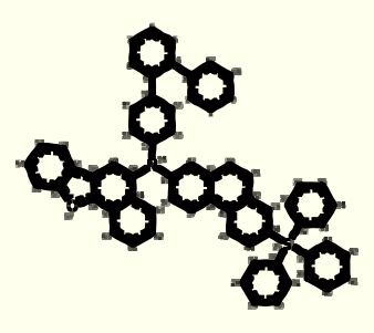 c1ccc(-c2ccccc2-c2ccc(N(c3ccc4c(ccc5cc([Si](c6ccccc6)(c6ccccc6)c6ccccc6)ccc54)c3)c3cc4c5ccccc5oc4c4ccccc34)cc2)cc1